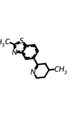 Cc1nc2cc(C3=NCCC(C)C3)ccc2s1